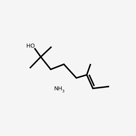 C/C=C(\C)CCCC(C)(C)O.N